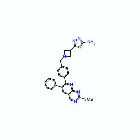 CSc1ncc2cc(-c3ccccc3)c(-c3ccc(CN4CC(c5nnc(N)s5)C4)cc3)nc2n1